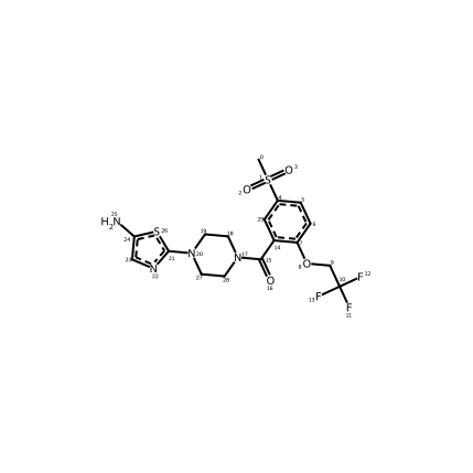 CS(=O)(=O)c1ccc(OCC(F)(F)F)c(C(=O)N2CCN(c3ncc(N)s3)CC2)c1